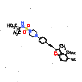 CCc1ccc2oc(C#Cc3ccc(N4CCN(S(=O)(=O)N[C@H](C)C(=O)O)CC4)cc3)c(C)c2c1OC